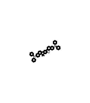 CC1(C)c2cc3oc4c5ccc(N(c6ccccc6)c6ccccc6)cc5ccc4c3cc2-c2ccc3cc(N(c4ccccc4)c4ccccc4)ccc3c21